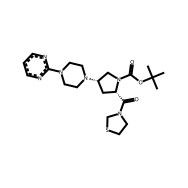 CC(C)(C)OC(=O)N1C[C@@H](N2CCN(c3ncccn3)CC2)C[C@H]1C(=O)N1CCSC1